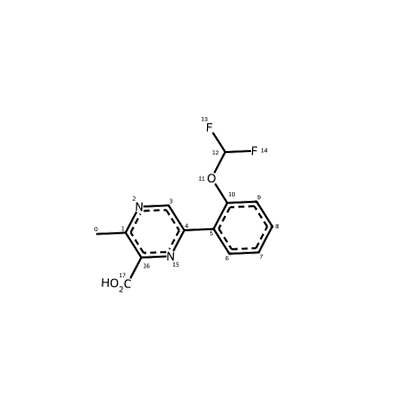 Cc1ncc(-c2ccccc2OC(F)F)nc1C(=O)O